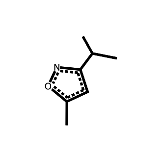 Cc1cc(C(C)C)no1